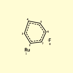 [F].[Ru].c1ccccc1